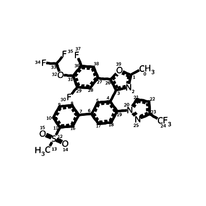 Cc1nc(-c2cc(-c3cccc(S(C)(=O)=O)c3)ccc2-n2ccc(C(F)(F)F)n2)c(-c2cc(F)c(OC(F)F)c(F)c2)o1